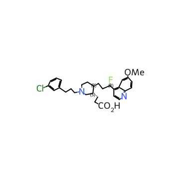 COc1ccc2nccc([C@H](F)CC[C@@H]3CCN(CCCc4cccc(Cl)c4)C[C@H]3CCC(=O)O)c2c1